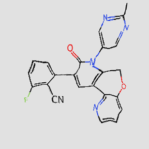 Cc1ncc(-n2c3c(cc(-c4cccc(F)c4C#N)c2=O)-c2ncccc2OC3)cn1